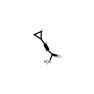 NC(=O)C#CC1CC1